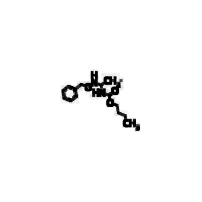 [CH2]C(NOCc1ccccc1)NC(=O)OCCCC